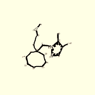 COCCC1(Cn2ncc(I)c2C)CCCCCCC1